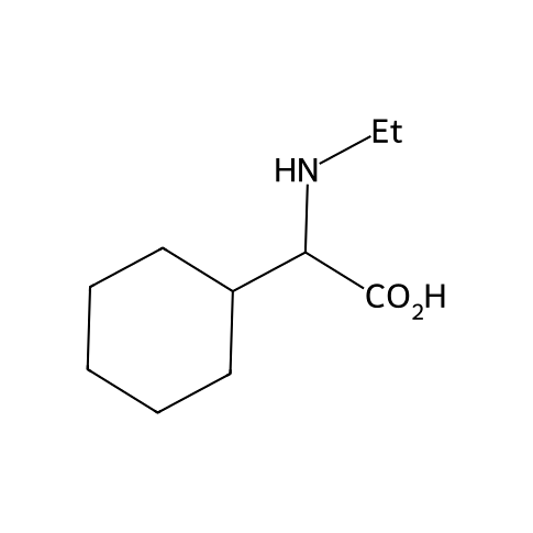 CCNC(C(=O)O)C1CCCCC1